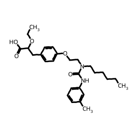 CCCCCCN(CCOc1ccc(CC(OCC)C(=O)O)cc1)C(=O)Nc1cccc(C)c1